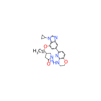 C[C@@H](Oc1cc(-c2ccc3c(n2)NCCO3)cc2ncn(C3CC3)c12)C1CNC(=O)C1